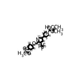 CC(C)(C)OC(=O)N1CC=C(c2cnc(COc3ccc(S(C)(=O)=O)cc3)c(C(F)(F)F)c2)CC1